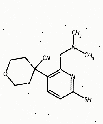 CN(C)Cc1nc(S)ccc1C1(C#N)CCOCC1